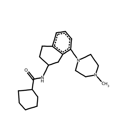 CN1CCN(c2cccc3c2CC(NC(=O)C2CCCCC2)CC3)CC1